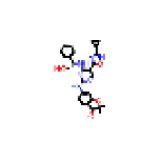 CC1(C)Oc2cc(Nc3ncc(-c4nc(C5CC5)no4)c(N[C@H](CO)c4ccccc4)n3)ccc2C1=O